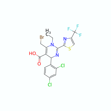 CCN1C(c2nc(C(F)(F)F)cs2)=NC(c2ccc(Cl)cc2Cl)C(C(=O)O)=C1CBr